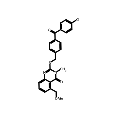 COCc1cccc2nc(SCc3ccc(C(=O)c4ccc(Cl)cc4)cc3)n(C)c(=O)c12